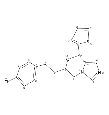 Clc1ccc(CCC(Cn2ccnc2)OCc2cccs2)cc1